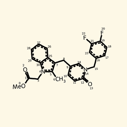 COC(=O)Cn1c(C)c(Cc2ccc(=O)n(Cc3ccc(F)c(F)c3)c2)c2ccccc21